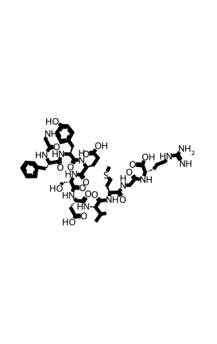 CSCC[C@H](NC(=O)[C@@H](NC(=O)[C@H](CC(=O)O)NC(=O)[C@H](CO)NC(=O)[C@H](CCC(=O)O)NC(=O)[C@H](Cc1ccc(O)cc1)NC(=O)[C@H](Cc1ccccc1)NC(=O)CN)C(C)C)C(=O)NCC(=O)N[C@@H](CCCNC(=N)N)C(=O)O